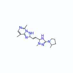 CC1=CN=C(C)N2NC(/C=C/C3NC(N4CCCC4C)=NN3C)N=C12